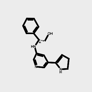 OC[C@H](Nc1cncc(C2=CCCN2)c1)c1ccccc1